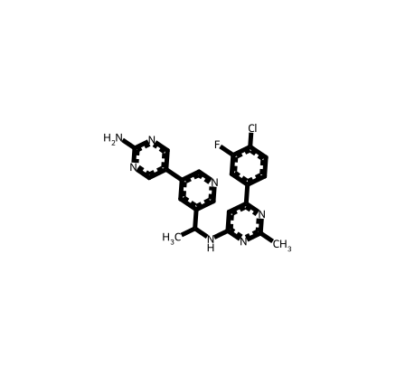 Cc1nc(NC(C)c2cncc(-c3cnc(N)nc3)c2)cc(-c2ccc(Cl)c(F)c2)n1